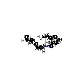 C=CC(=O)Nc1cc(OC)c(N2CCC[C@@H](Nc3ncc(Cl)c(-c4c[nH]c5c(/C=C/C(=O)Nc6ccc(C(=O)N7CCC[C@@H](Nc8ncc(Cl)c(-c9c[nH]c%10ccccc9%10)n8)C7)nc6)cccc45)n3)C2)cc1C